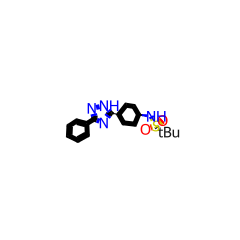 CC(C)(C)S(=O)(=O)N[C@H]1CC[C@H](c2nc(-c3ccccc3)n[nH]2)CC1